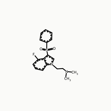 CN(C)CCn1cc(S(=O)(=O)c2ccccc2)c2c(F)cccc21